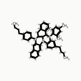 CCCCc1ccc(N2c3cc4ccccc4cc3N3c4ccc(CCCC)cc4B(c4c(C)cc(C)cc4C)C4c5ccccc5CC2C43)cc1